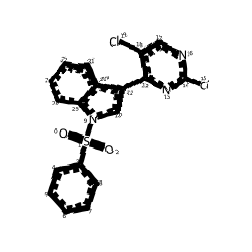 O=S(=O)(c1ccccc1)n1cc(-c2nc(Cl)ncc2Cl)c2ccccc21